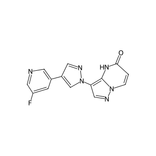 O=c1ccn2ncc(-n3cc(-c4cncc(F)c4)cn3)c2[nH]1